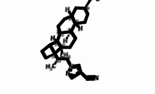 COC[C@H]1CC[C@H]2[C@H](CC[C@]3(I)[C@@H]2CC[C@@]2(C)[C@H]3C3CC[C@@]32[C@@H](C)Cn2cc(C#N)cn2)C1